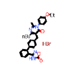 Br.CCCCc1nc(C)n(-c2ccc(OCC)cc2)c(=O)c1Cc1ccc(-c2ccccc2-c2noc(=O)[nH]2)cc1